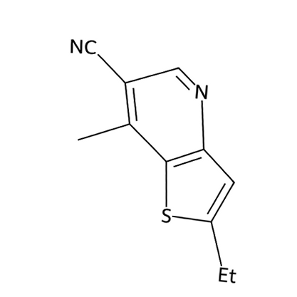 CCc1cc2ncc(C#N)c(C)c2s1